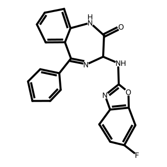 O=C1Nc2ccccc2C(c2ccccc2)=NC1Nc1nc2ccc(F)cc2o1